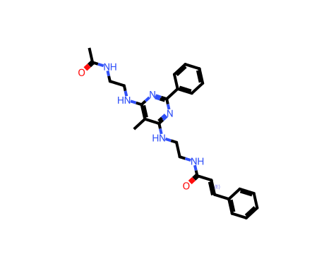 CC(=O)NCCNc1nc(-c2ccccc2)nc(NCCNC(=O)/C=C/c2ccccc2)c1C